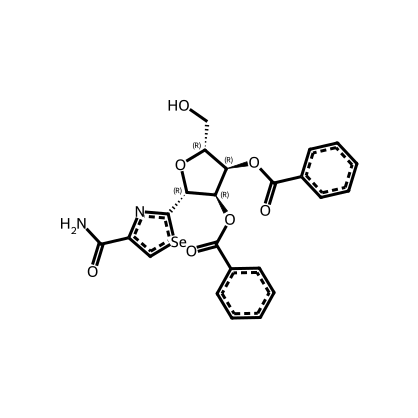 NC(=O)c1c[se]c([C@@H]2O[C@H](CO)[C@@H](OC(=O)c3ccccc3)[C@H]2OC(=O)c2ccccc2)n1